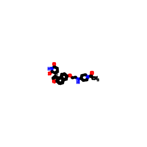 CC(=O)N1CCC(NCCOc2ccc3c(ccc4occ([C@H]5CCC(=O)NC5=O)c43)c2)CC1